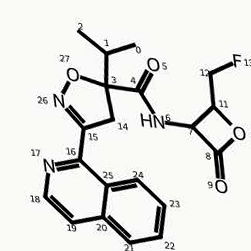 CC(C)C1(C(=O)NC2C(=O)OC2CF)CC(c2nccc3ccccc23)=NO1